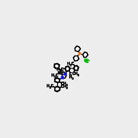 C1CCC(P(C2CCCCC2)C2CCCCC2)CC1.Cc1cccc(C)c1-c1ccc(C)c(N2CCN(c3c(C)ccc(-c4c(C)cccc4C)c3C)[C]2=[Ru+2]=[CH]c2ccccc2)c1C.[Cl-].[Cl-]